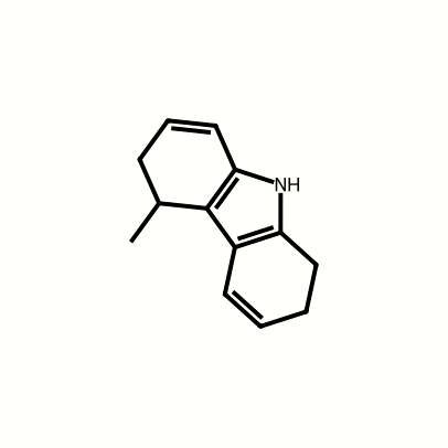 CC1CC=Cc2[nH]c3c(c21)C=CCC3